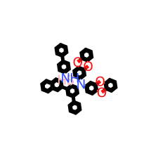 B1c2cc3c(cc2N(c2ccc4c(c2)Oc2ccccc2O4)c2cc(-c4ccccc4)cc(-c4cc5ccccc5cc4Nc4ccc(-c5ccccc5)cc4)c21)Oc1ccccc1O3